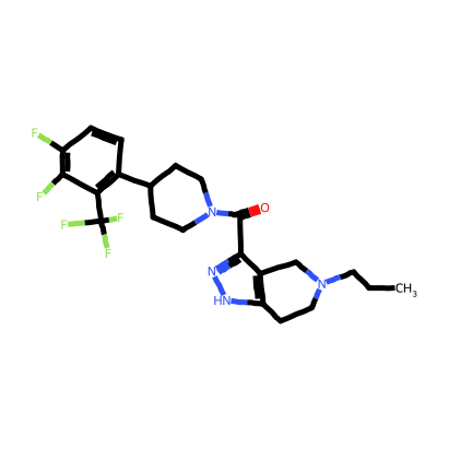 CCCN1CCc2[nH]nc(C(=O)N3CCC(c4ccc(F)c(F)c4C(F)(F)F)CC3)c2C1